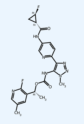 Cc1cnc(F)c([C@@H](C)OC(=O)Nc2c(-c3ccc(NC(=O)[C@@H]4C[C@H]4F)cn3)nnn2C)c1